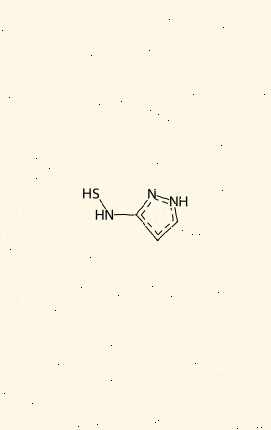 SNc1cc[nH]n1